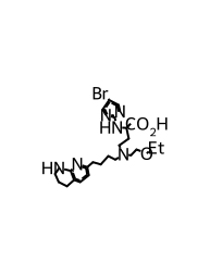 CCOCCN(CCCCc1ccc2c(n1)NCCC2)CCC(Nc1ncc(Br)cn1)C(=O)O